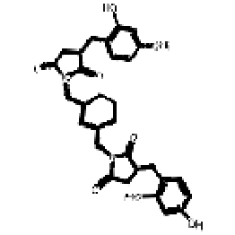 O=C1CC(Cc2ccc(O)cc2O)C(=O)N1CC1CCCC(CN2C(=O)CC(Cc3ccc(O)cc3O)C2=O)C1